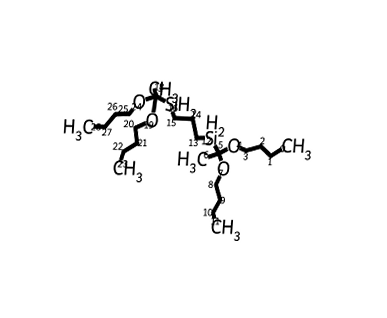 CCCCOC(C)(OCCCC)[SiH2]CCC[SiH2]C(C)(OCCCC)OCCCC